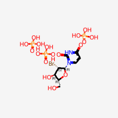 O=P(O)(O)O.O=P(O)(O)O.O=P(O)(O)O.O=c1ccn([C@@H]2O[C@H](CO)[C@@H](O)[C@@H]2Br)c(=O)[nH]1